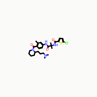 Cc1cc(NC(=O)C(C)(C)NC(=O)c2ccc(Cl)s2)ccc1C(=O)N1CCCCC1CCCN(C)C